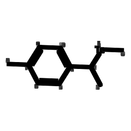 C[Te]C(C)c1ccc(C)cc1